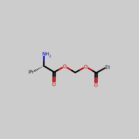 CCC(=O)OCOC(=O)[C@@H](N)C(C)C